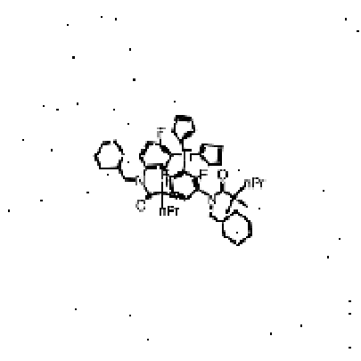 CCCC(C)(C)C(=O)N(CC1CCCCC1)c1ccc(F)[c]([Ti]([C]2=CC=CC2)([C]2=CC=CC2)[c]2c(F)ccc(N(CC3CCCCC3)C(=O)C(C)(C)CCC)c2F)c1F